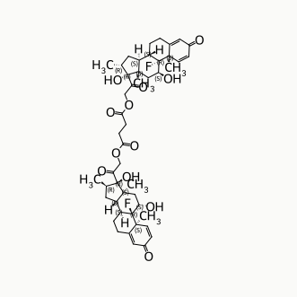 C[C@@H]1C[C@H]2[C@@H]3CCC4=CC(=O)C=C[C@]4(C)[C@@]3(F)[C@@H](O)C[C@]2(C)[C@@]1(O)C(=O)COC(=O)CCC(=O)OCC(=O)[C@@]1(O)[C@H](C)C[C@H]2[C@@H]3CCC4=CC(=O)C=C[C@]4(C)[C@@]3(F)[C@@H](O)C[C@@]21C